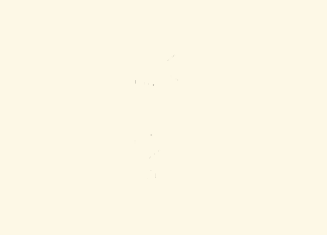 COc1ccc(C[CH]C(=O)c2ccccc2)cc1